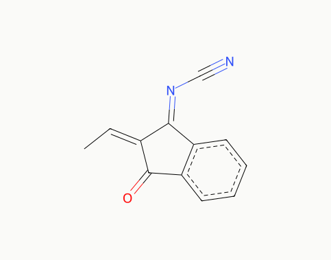 C/C=C1\C(=O)c2ccccc2C1=NC#N